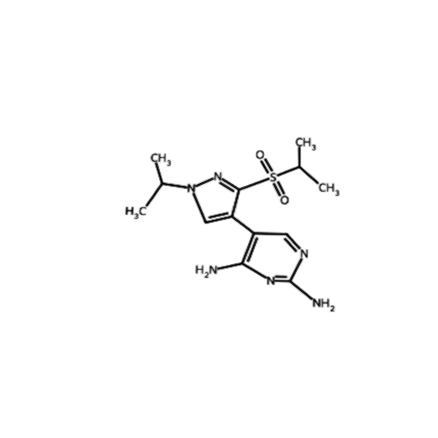 CC(C)n1cc(-c2cnc(N)nc2N)c(S(=O)(=O)C(C)C)n1